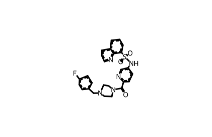 O=C(c1ccc(NS(=O)(=O)c2cccc3cccnc23)cn1)N1CCN(Cc2ccc(F)cc2)CC1